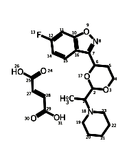 CC(C1OCCC(c2noc3cc(F)ccc23)O1)N1CCCCC1.O=C(O)C=CC(=O)O